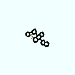 C1=CC2C=CC(c3c4ccccc4c(-c4cccc5c4sc4ccccc45)c4ccccc34)=CC2C=C1